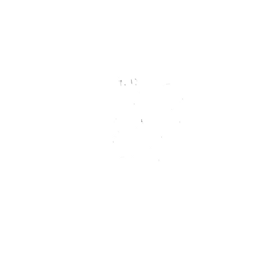 O=C([O-])C(O)C(O)C(=O)[O-].O=C([O-])C(O)C(O)C(=O)[O-].[NH4+].[Sb+3]